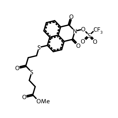 COC(=O)CCSC(=O)CCSc1ccc2c3c(cccc13)C(=O)N(OS(=O)(=O)C(F)(F)F)C2=O